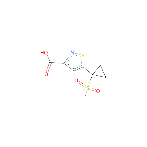 CS(=O)(=O)C1(c2cc(C(=O)O)ns2)CC1